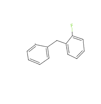 Fc1ccccc1Cc1[c]cccc1